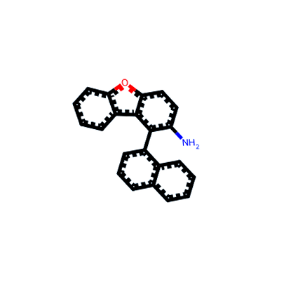 Nc1ccc2oc3ccccc3c2c1-c1cccc2ccccc12